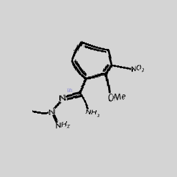 COc1c(/C(N)=N/N(C)N)cccc1[N+](=O)[O-]